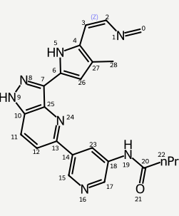 C=N/C=C\c1[nH]c(-c2n[nH]c3ccc(-c4cncc(NC(=O)CCC)c4)nc23)cc1C